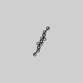 COCCCOc1ccc(C(=O)Oc2ccc(OC(=O)c3ccc(OCCCOC)cc3)c(C)c2)cc1